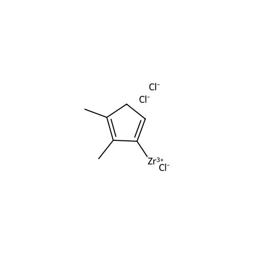 CC1=C(C)[C]([Zr+3])=CC1.[Cl-].[Cl-].[Cl-]